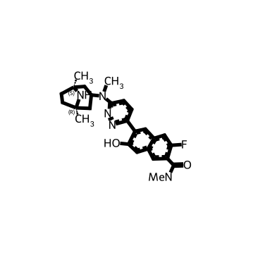 CNC(=O)c1cc2cc(O)c(-c3ccc(N(C)C4C[C@]5(C)CC[C@](C)(C4)N5)nn3)cc2cc1F